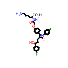 NCCCC[C@H](NC(=O)COc1ccc(C2C(CCC(O)c3ccc(F)cc3)C(=O)N2c2ccc(F)cc2)cc1)C(=O)O